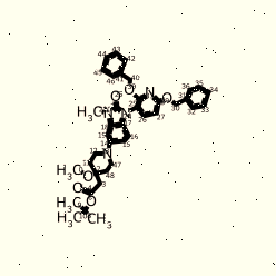 COC1(CC(=O)OC(C)(C)C)CCN(c2ccc3c(c2)n(C)c(=O)n3-c2ccc(OCc3ccccc3)nc2OCc2ccccc2)CC1